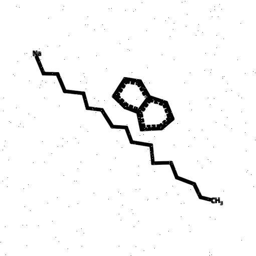 CCCCCCCCCCCCCCC[CH2][Na].c1ccc2ccccc2c1